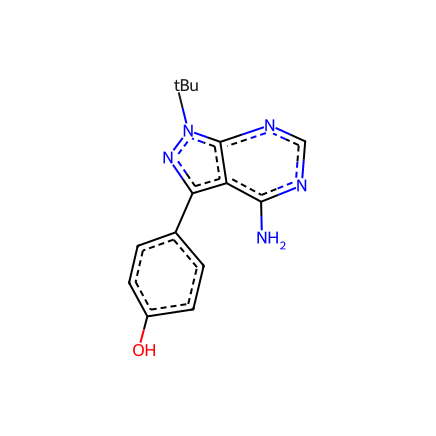 CC(C)(C)n1nc(-c2ccc(O)cc2)c2c(N)ncnc21